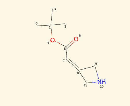 CC(C)(C)OC(=O)C=C1CNC1